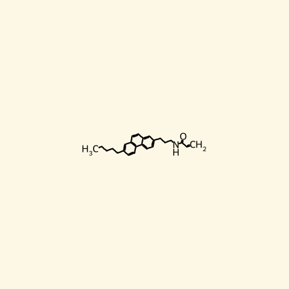 C=CC(=O)NCCCc1ccc2c(ccc3cc(CCCCC)ccc32)c1